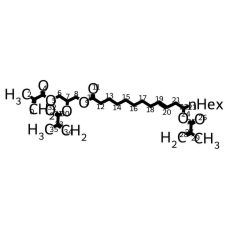 C=C(C)C(=O)OCC(COC(=O)CCCCCCC/C=C/CC(CCCCCC)OC(=O)C(=C)C)OC(=O)C(=C)C